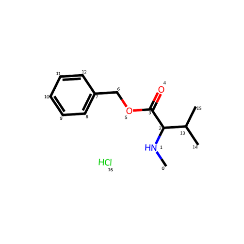 CNC(C(=O)OCc1ccccc1)C(C)C.Cl